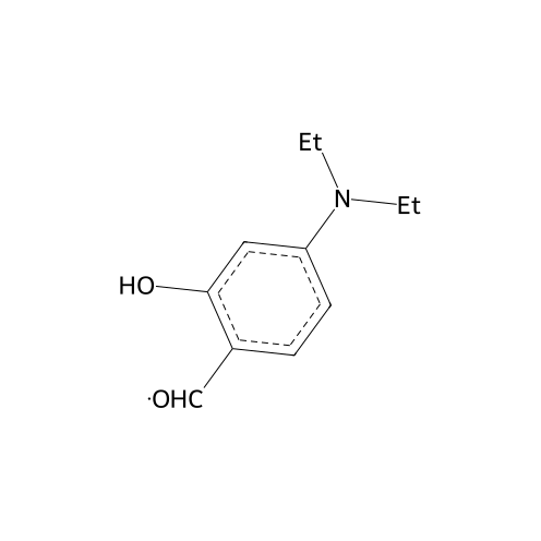 CCN(CC)c1ccc([C]=O)c(O)c1